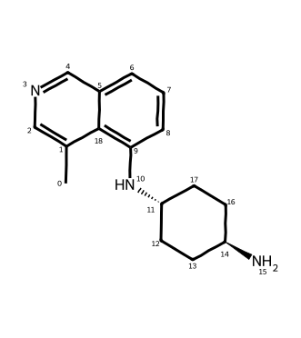 Cc1cncc2cccc(N[C@H]3CC[C@H](N)CC3)c12